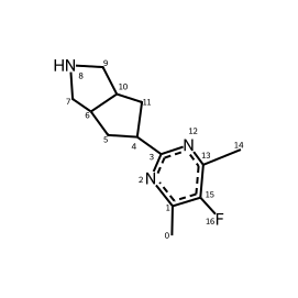 Cc1nc(C2CC3CNCC3C2)nc(C)c1F